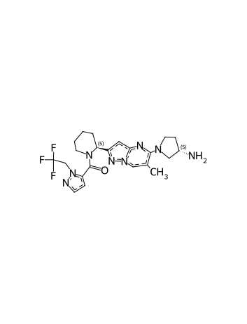 Cc1cn2nc([C@@H]3CCCCN3C(=O)c3ccnn3CC(F)(F)F)cc2nc1N1CC[C@H](N)C1